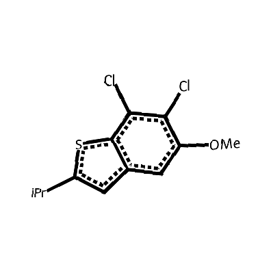 COc1cc2cc(C(C)C)sc2c(Cl)c1Cl